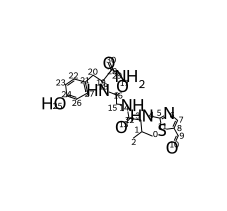 CC(C)C(Nc1ncc(C=O)s1)C(=O)NCC(=O)NC(Cc1ccc(O)cc1)C(N)=O